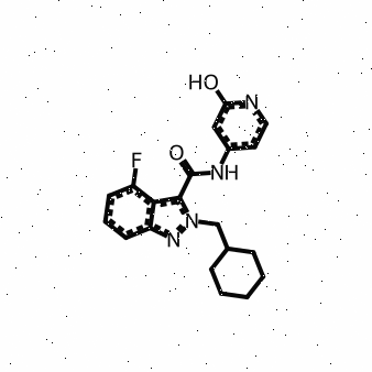 O=C(Nc1ccnc(O)c1)c1c2c(F)cccc2nn1CC1CCCCC1